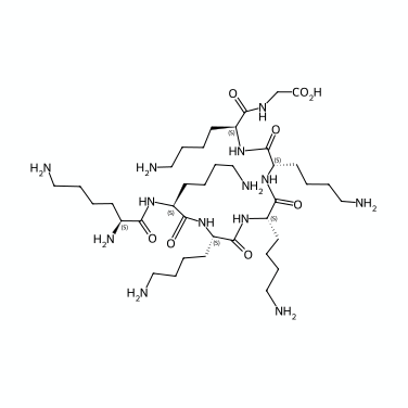 NCCCC[C@H](NC(=O)[C@H](CCCCN)NC(=O)[C@H](CCCCN)NC(=O)[C@H](CCCCN)NC(=O)[C@H](CCCCN)NC(=O)[C@@H](N)CCCCN)C(=O)NCC(=O)O